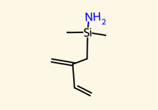 C=CC(=C)C[Si](C)(C)N